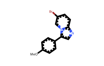 COc1ccc(-c2cnc3ccc(Br)cn23)cc1